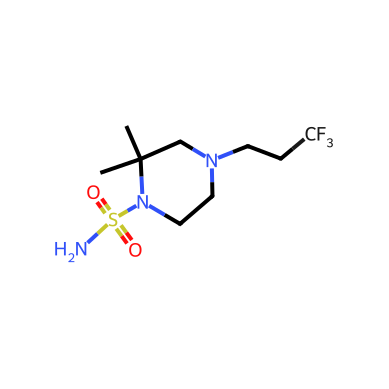 CC1(C)CN(CCC(F)(F)F)CCN1S(N)(=O)=O